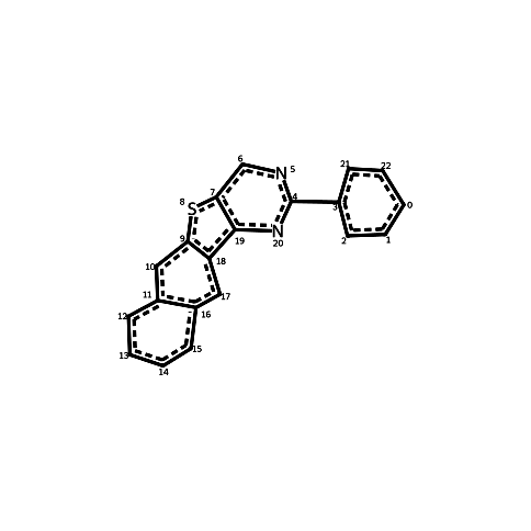 c1ccc(-c2ncc3sc4cc5ccccc5cc4c3n2)cc1